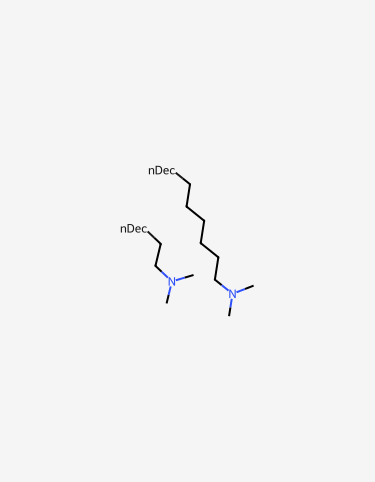 CCCCCCCCCCCCCCCCN(C)C.CCCCCCCCCCCCN(C)C